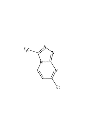 CCc1ccn2c(C(F)(F)F)nnc2n1